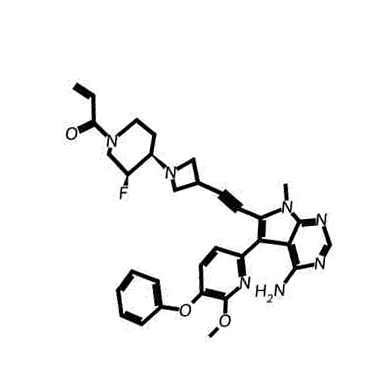 C=CC(=O)N1CC[C@@H](N2CC(C#Cc3c(-c4ccc(Oc5ccccc5)c(OC)n4)c4c(N)ncnc4n3C)C2)[C@@H](F)C1